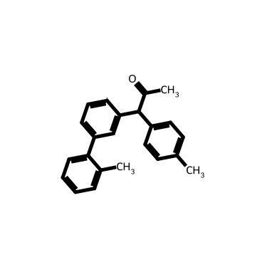 CC(=O)C(c1[c]ccc(-c2ccccc2C)c1)c1ccc(C)cc1